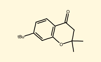 CC1(C)CC(=O)c2ccc(C(C)(C)C)cc2O1